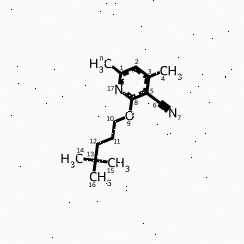 Cc1cc(C)c(C#N)c(OCCCC(C)(C)C)n1